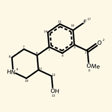 COC(=O)c1cc(C2CCNCC2CO)ccc1F